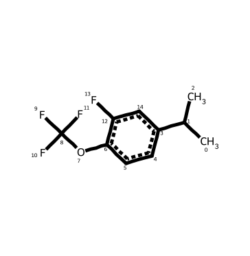 CC(C)c1ccc(OC(F)(F)F)c(F)c1